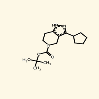 CC(C)(C)OC(=O)N1CCc2[nH]nc(C3CCCC3)c2C1